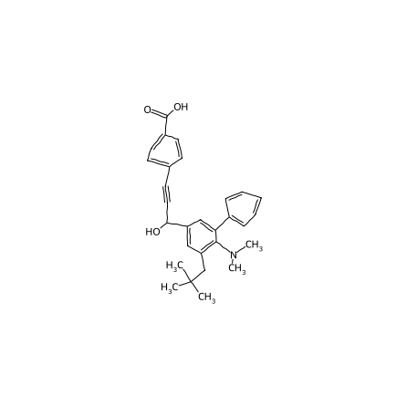 CN(C)c1c(CC(C)(C)C)cc(C(O)C#Cc2ccc(C(=O)O)cc2)cc1-c1ccccc1